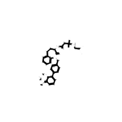 CCNC1C(c2ccc(CN3C(=O)[C@H](NC(=O)CC(C)(C)NC[C@@H](C)O)CCc4ccccc43)cc2)=CC=CC1=S(=O)=O